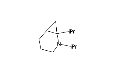 CC(C)N1CCCC2CC21C(C)C